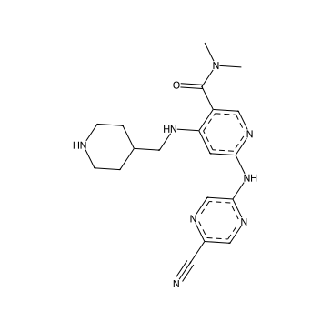 CN(C)C(=O)c1cnc(Nc2cnc(C#N)cn2)cc1NCC1CCNCC1